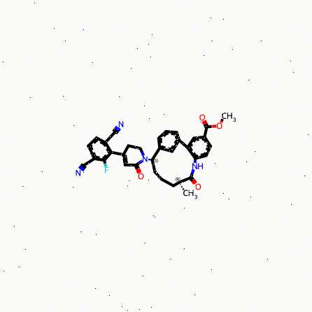 COC(=O)c1ccc2c(c1)-c1cccc(c1)[C@@H](N1CCC(c3c(C#N)ccc(C#N)c3F)=CC1=O)CCC[C@@H](C)C(=O)N2